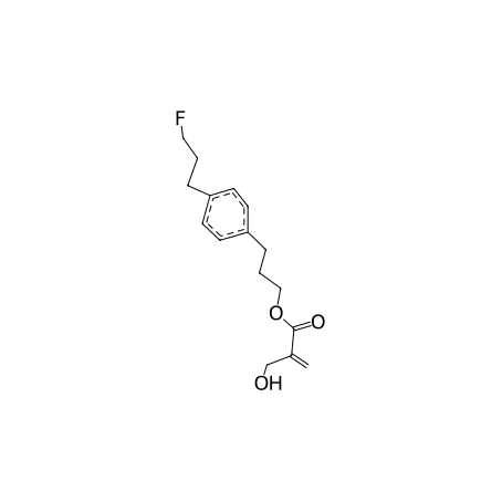 C=C(CO)C(=O)OCCCc1ccc(CCCF)cc1